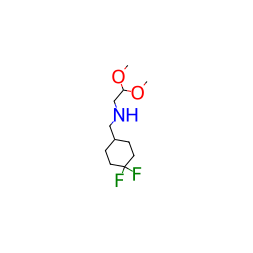 COC(CNCC1CCC(F)(F)CC1)OC